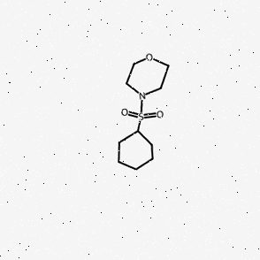 O=S(=O)(C1CCCCC1)N1CCOCC1